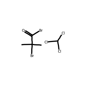 CC(C)(Br)C(=O)Br.ClC(Cl)Cl